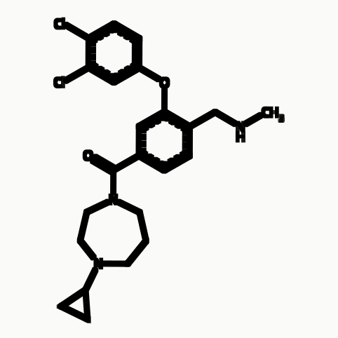 CNCc1ccc(C(=O)N2CCCN(C3CC3)CC2)cc1Oc1ccc(Cl)c(Cl)c1